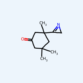 CC1(C)CC(=O)CC(C)(C2=NC2)C1